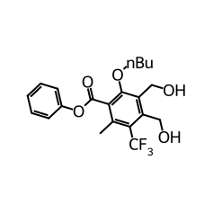 CCCCOc1c(CO)c(CO)c(C(F)(F)F)c(C)c1C(=O)Oc1ccccc1